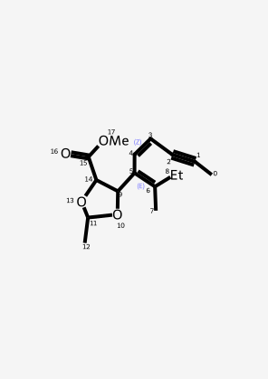 CC#C/C=C\C(=C(\C)CC)C1OC(C)OC1C(=O)OC